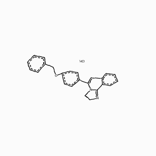 C1=C(c2ccc(OCc3ccccc3)cc2)N2CCN=C2c2ccccc21.Cl